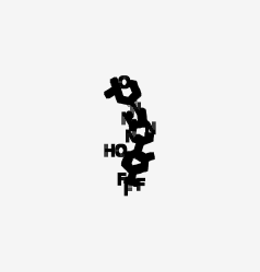 Cc1cc(C(F)(F)F)cc(O)c1-c1cnc2cn([C@H]3CCOC(C)(C)C3)nc2n1